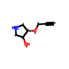 C#CCO[C@@H]1CNC[C@@H]1O